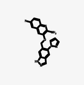 Nc1nc2ccc(F)cc2cc1OCc1cc2[nH]ncc2cc1-n1cccn1